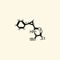 CCC(=O)C(NC(=O)C1CC1c1ccccc1)C(C)(C)C